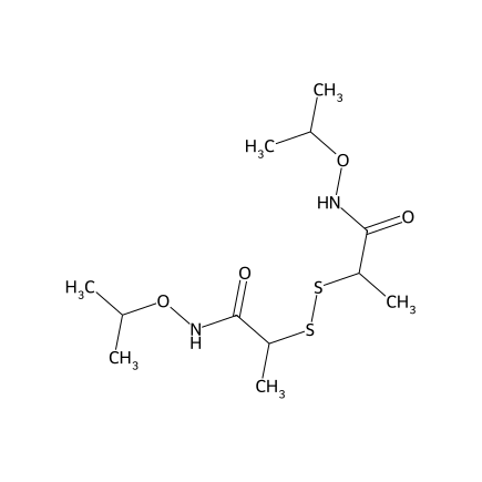 CC(C)ONC(=O)C(C)SSC(C)C(=O)NOC(C)C